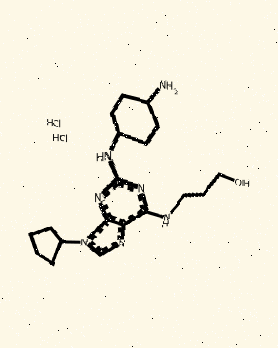 Cl.Cl.NC1CCC(Nc2nc(NCCCO)c3ncn(C4CCCC4)c3n2)CC1